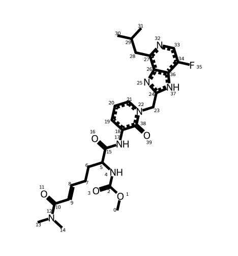 COC(=O)NC(CCC=CC(=O)N(C)C)C(=O)Nc1cccn(Cc2nc3c(CC(C)C)ncc(F)c3[nH]2)c1=O